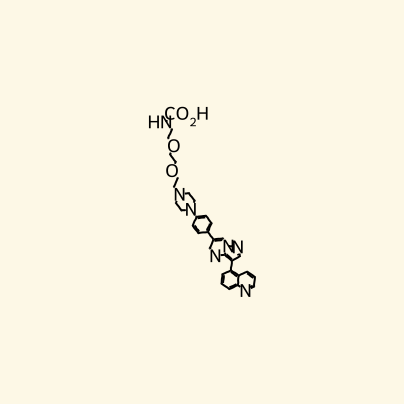 O=C(O)NCCOCCOCCN1CCN(c2ccc(-c3cnc4c(-c5cccc6ncccc56)cnn4c3)cc2)CC1